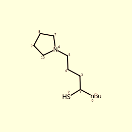 CCCCC(S)CCCN1CCCC1